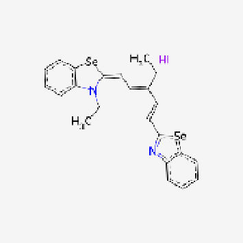 CCC(C=Cc1nc2ccccc2[se]1)=CC=C1[Se]c2ccccc2N1CC.I